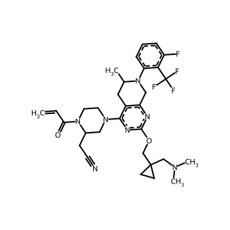 C=CC(=O)N1CCN(c2nc(OCC3(CN(C)C)CC3)nc3c2CC(C)N(c2cccc(F)c2C(F)(F)F)C3)CC1CC#N